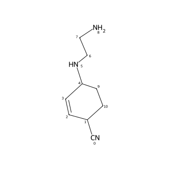 N#CC1C=CC(NCCN)CC1